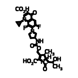 C[C@@H](O)[C@@H]1C(=O)N2C(C(=O)O)=C(COC(=O)N[C@H]3CCN(c4c(F)cc5c(=O)c(C(=O)O)cn(C6CC6)c5c4F)C3)[C@H](C)[C@H]12